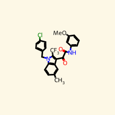 COc1cccc(NC(=O)C(=O)c2c(C(F)(F)F)n(Cc3ccc(Cl)cc3)c3ccc(C)cc23)c1